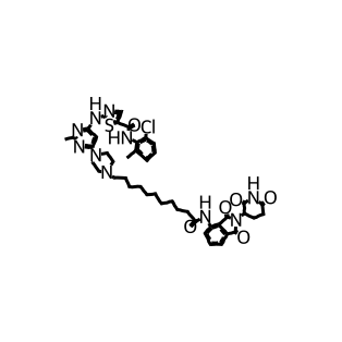 Cc1nc(Nc2ncc(C(=O)Nc3c(C)cccc3Cl)s2)cc(N2CCN(CCCCCCCCCCC(=O)Nc3cccc4c3C(=O)N(C3CCC(=O)NC3=O)C4=O)CC2)n1